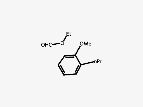 CCCc1ccccc1OC.CCOC=O